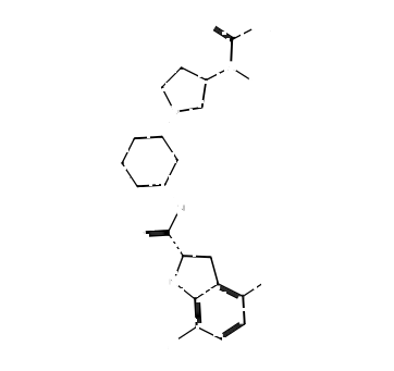 CC(=O)N(C)C1CCN([C@H]2CCC[C@@H](NC(=O)C3Cc4c(F)ccc(C)c4N3)C2)C1